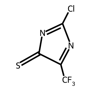 FC(F)(F)C1=NC(Cl)=NC1=S